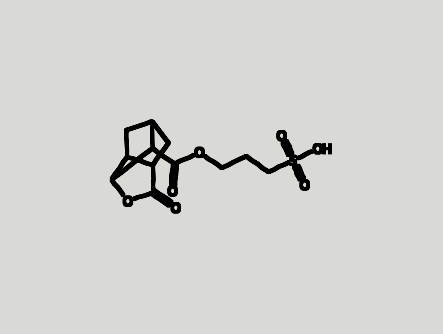 O=C1OC2C3CC(CC13)C2C(=O)OCCCS(=O)(=O)O